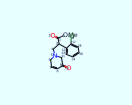 COC(=O)C(CN1CC=CC(=O)C1)c1ccccc1Cl